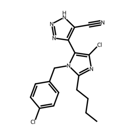 CCCCc1nc(Cl)c(-c2nn[nH]c2C#N)n1Cc1ccc(Cl)cc1